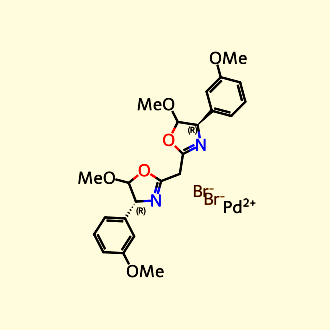 COc1cccc([C@H]2N=C(CC3=N[C@H](c4cccc(OC)c4)C(OC)O3)OC2OC)c1.[Br-].[Br-].[Pd+2]